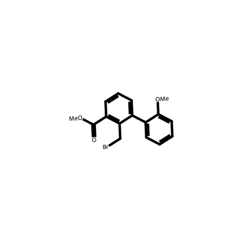 COC(=O)c1cccc(-c2ccccc2OC)c1CBr